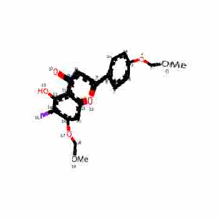 COCOc1ccc(-c2cc(=O)c3c(O)c(I)c(OCOC)cc3o2)cc1